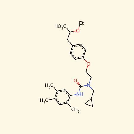 CCOC(Cc1ccc(OCCN(CC2CC2)C(=O)Nc2cc(C)c(C)cc2C)cc1)C(=O)O